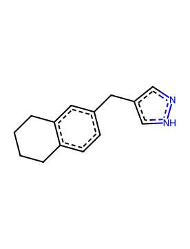 c1cc2c(cc1Cc1cn[nH]c1)CCCC2